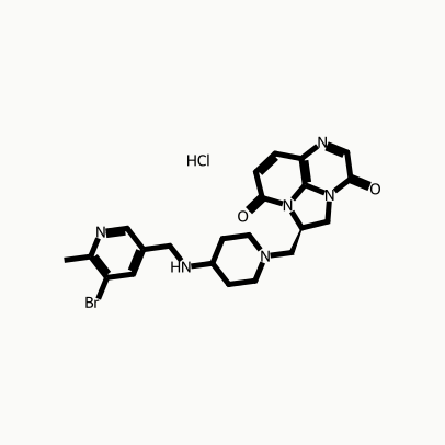 Cc1ncc(CNC2CCN(C[C@@H]3Cn4c(=O)cnc5ccc(=O)n3c54)CC2)cc1Br.Cl